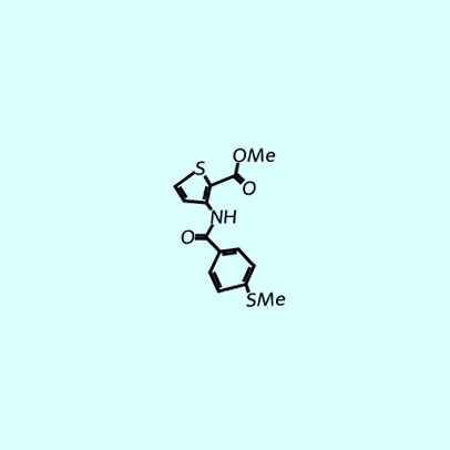 COC(=O)c1sccc1NC(=O)c1ccc(SC)cc1